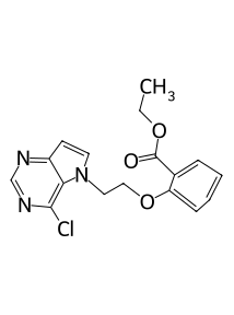 CCOC(=O)c1ccccc1OCCn1ccc2ncnc(Cl)c21